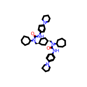 O=C(Nc1ccc(N2CCCCC2)cc1)N(C[C@H]1CC[C@H](CN(C(=O)Nc2ccc(N3CCCCC3)cc2)C2CCCCCC2)CC1)C1CCCCCC1